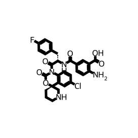 Nc1ccc(C(=O)N[C@@H](Cc2ccc(F)cc2)C(=O)N2C(=O)O[C@]3(CCCNC3)c3cc(Cl)ccc32)cc1C(=O)O